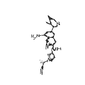 Cc1ccncc1-c1cc(N)c2cnc(Nc3ccn([C@@H](C)C#N)n3)cc2c1